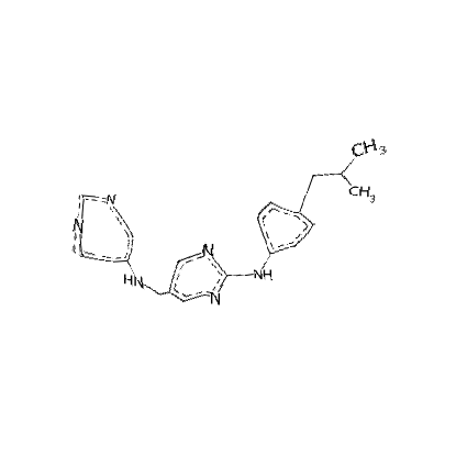 CC(C)Cc1ccc(Nc2ncc(Nc3cncnc3)cn2)cc1